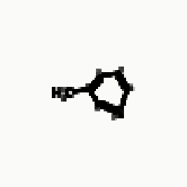 Cc1cc[c]nc1